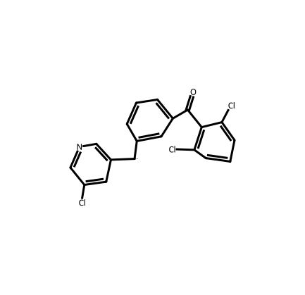 O=C(c1cccc([CH]c2cncc(Cl)c2)c1)c1c(Cl)cccc1Cl